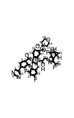 O=c1c2ccc(-c3cncnc3)cc2nc([C@H](Cc2cc(F)cc(F)c2)NC(O)Cn2nc(C(F)F)c3c2C(F)(F)[C@@H]2C[C@H]32)n1-c1ccc(S(=O)(=O)N2CCOCC2)cc1